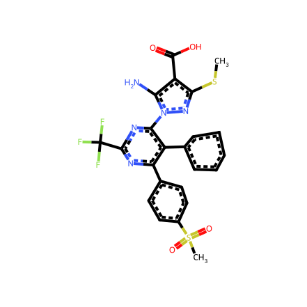 CSc1nn(-c2nc(C(F)(F)F)nc(-c3ccc(S(C)(=O)=O)cc3)c2-c2ccccc2)c(N)c1C(=O)O